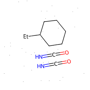 CCC1CCCCC1.N=C=O.N=C=O